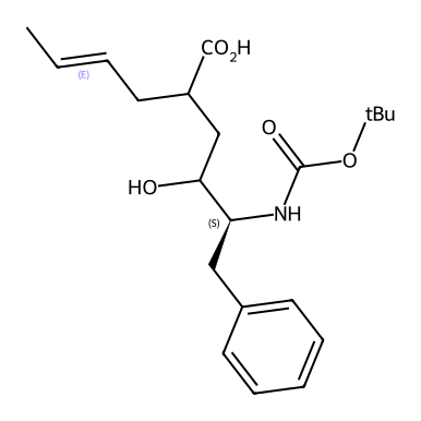 C/C=C/CC(CC(O)[C@H](Cc1ccccc1)NC(=O)OC(C)(C)C)C(=O)O